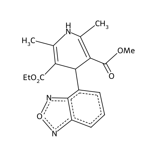 CCOC(=O)C1=C(C)NC(C)=C(C(=O)OC)C1c1cccc2nonc12